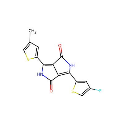 Cc1csc(C2=C3C(=O)NC(c4cc(F)cs4)=C3C(=O)N2)c1